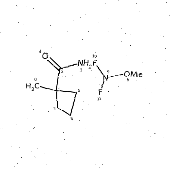 CC1(C(N)=O)CCC1.CON(F)F